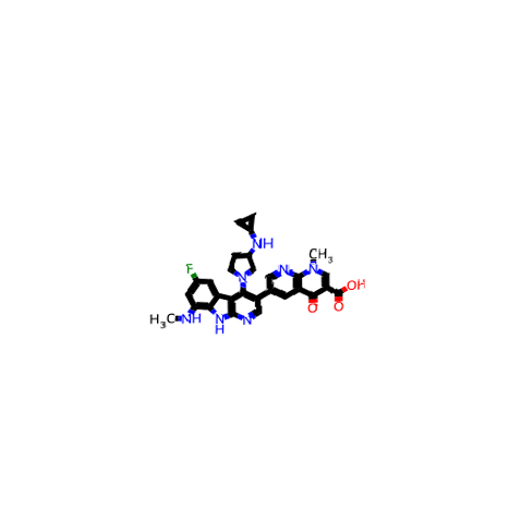 CNc1cc(F)cc2c1[nH]c1ncc(-c3cnc4c(c3)c(=O)c(C(=O)O)cn4C)c(N3CCC(NC4CC4)C3)c12